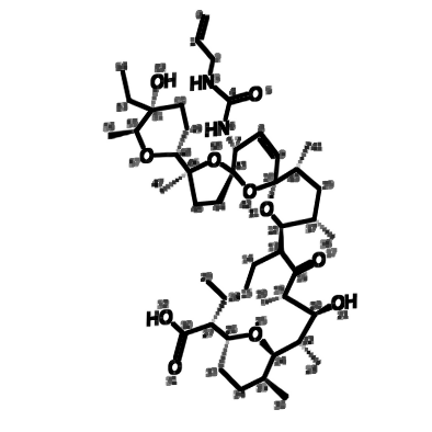 C=CCNC(=O)N[C@@H]1C=C[C@]2(O[C@H](C(CC)C(=O)[C@@H](C)[C@@H](O)[C@H](C)[C@@H]3O[C@@H]([C@@H](CC)C(=O)O)CC[C@@H]3C)[C@@H](C)C[C@H]2C)O[C@@]12CC[C@@](C)([C@H]1CC[C@](O)(CC)[C@H](C)O1)O2